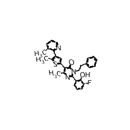 Cc1cccnc1-c1cc(-c2c(C)nc(-c3cccc(F)c3O)n(CCc3ccccc3)c2=O)sc1C